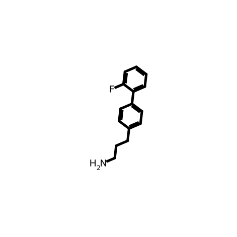 NCCCc1ccc(-c2ccccc2F)cc1